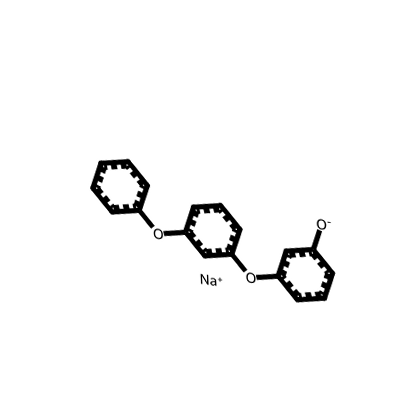 [Na+].[O-]c1cccc(Oc2cccc(Oc3ccccc3)c2)c1